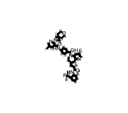 Cc1cnc(N2CC3(CCOCC3)C2)c(C(=O)Nc2ccc(C(O)N3CCc4cc(C(=O)Nc5c(F)cccc5C(F)(F)F)sc4-c4ncc(F)cc43)cc2)c1